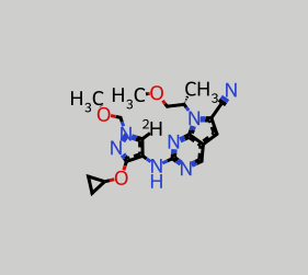 [2H]c1c(Nc2ncc3cc(C#N)n([C@@H](C)COC)c3n2)c(OC2CC2)nn1COC